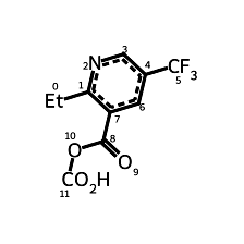 CCc1ncc(C(F)(F)F)cc1C(=O)OC(=O)O